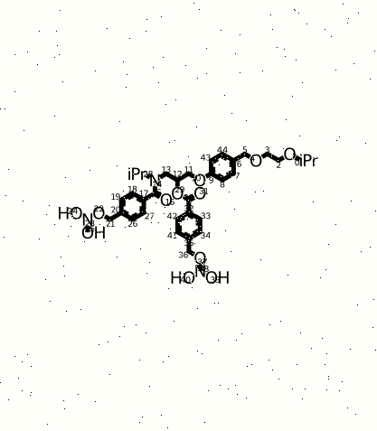 CC(C)OCCOCc1ccc(OCC(CN(C(=O)c2ccc(CON(O)O)cc2)C(C)C)OC(=O)c2ccc(CON(O)O)cc2)cc1